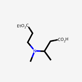 CCOC(=O)CCN(C)C(C)CC(=O)O